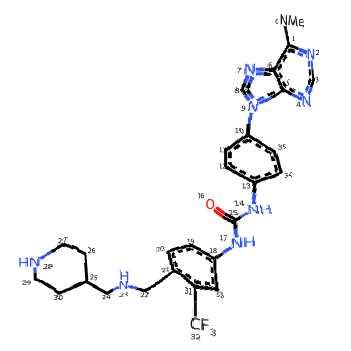 CNc1ncnc2c1ncn2-c1ccc(NC(=O)Nc2ccc(CNCC3CCNCC3)c(C(F)(F)F)c2)cc1